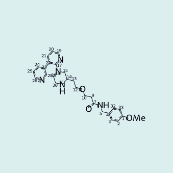 COc1ccc(CNC(=O)CCOCCC2CN(c3ncccc3-c3cccnc3)CCN2)cc1